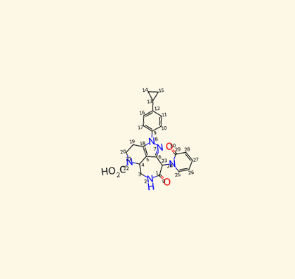 O=C1NCC2c3c(nn(-c4ccc(C5CC5)cc4)c3CCN2C(=O)O)C1n1ccccc1=O